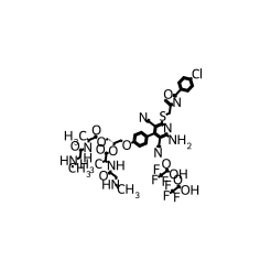 CNCC(=O)NC(C)C(=O)O[C@H](COC(=O)[C@H](C)NC(=O)CNC)COc1ccc(-c2c(C#N)c(N)nc(SCc3coc(-c4ccc(Cl)cc4)n3)c2C#N)cc1.O=C(O)C(F)(F)F.O=C(O)C(F)(F)F